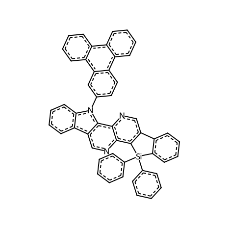 c1ccc([Si]2(c3ccccc3)c3ccccc3-c3cnc4c(ncc5c6ccccc6n(-c6ccc7c8ccccc8c8ccccc8c7c6)c54)c32)cc1